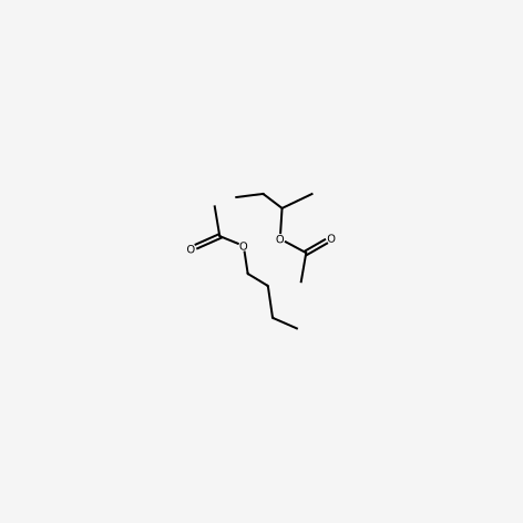 CCC(C)OC(C)=O.CCCCOC(C)=O